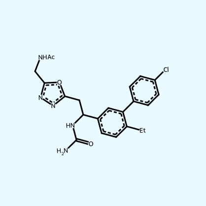 CCc1ccc(C(Cc2nnc(CNC(C)=O)o2)NC(N)=O)cc1-c1ccc(Cl)cc1